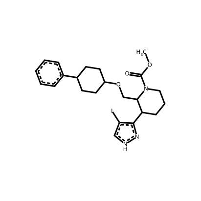 COC(=O)N1CCCC(c2n[nH]cc2I)C1COC1CCC(c2ccccc2)CC1